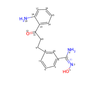 N/C(=N/O)c1cccc(CCC(=O)c2ccccc2N)c1